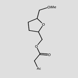 COCC1CCC(COC(=O)CC(C)=O)O1